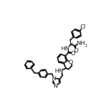 NC(=O)[C@H](Cc1ccc(Cl)cc1)NC(=O)c1cccc2c1OCCC2NCc1cncn1Cc1ccc(Cc2ccccc2)cc1